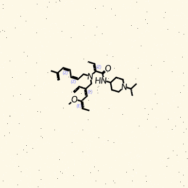 C=C/C(=C\C(=C/C)OC)CN(C/C=C\C=C/C(=C)C)/C(=C\C)C(=O)NC1CCN(C(C)C)CC1